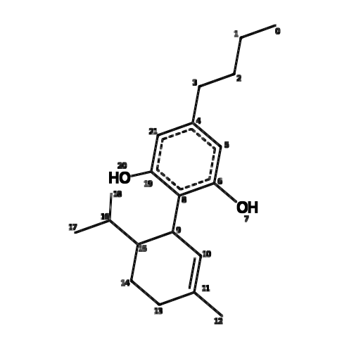 CCCCc1cc(O)c(C2C=C(C)CCC2C(C)C)c(O)c1